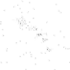 Nc1nc(N)c2nc(CNc3ccc(C(=O)N[C@@H](CCCNC(=O)c4ccc(NC(=O)CCCCCN5C(=O)C=CC5=O)cc4C(=O)O)C(=O)O)cc3)cnc2n1